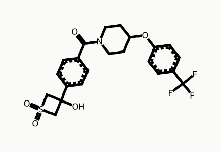 O=C(c1ccc(C2(O)CS(=O)(=O)C2)cc1)N1CCC(Oc2ccc(C(F)(F)F)cc2)CC1